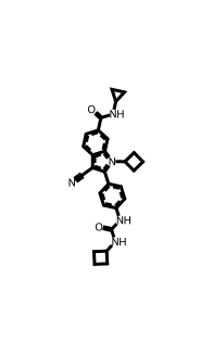 N#Cc1c(-c2ccc(NC(=O)NC3CCC3)cc2)n(C2CCC2)c2cc(C(=O)NC3CC3)ccc12